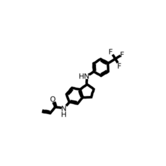 C=CC(=O)Nc1ccc2c(c1)CCC2Nc1ccc(C(F)(F)F)cc1